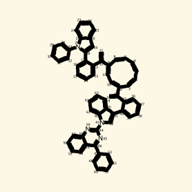 C=C(c1ccccccc(C(=C)c2ccccc2-c2cc3ccccc3n2-c2ccccc2)cc1)c1ccccc1-c1cn(-c2nc(-c3ccccc3)c3ccccc3n2)c2ccccc12